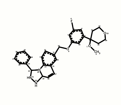 COC1(c2cc(F)cc(OCc3ccc4c(c3)C=CC3NNC(c5ccccc5)N43)c2)CCOCC1